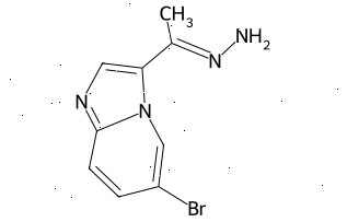 CC(=NN)c1cnc2ccc(Br)cn12